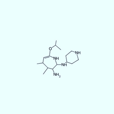 CC(C)OC1=CC(C)C(C)C(N)C(NC2CCNCC2)N1